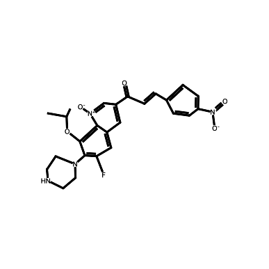 CC(C)Oc1c(N2CCNCC2)c(F)cc2cc(C(=O)C=Cc3ccc([N+](=O)[O-])cc3)c[n+]([O-])c12